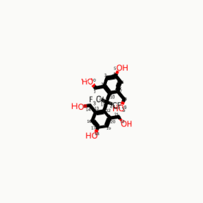 OCc1cc(O)cc(CO)c1C(c1c(CO)cc(O)cc1CO)(C(F)(F)F)C(F)(F)F